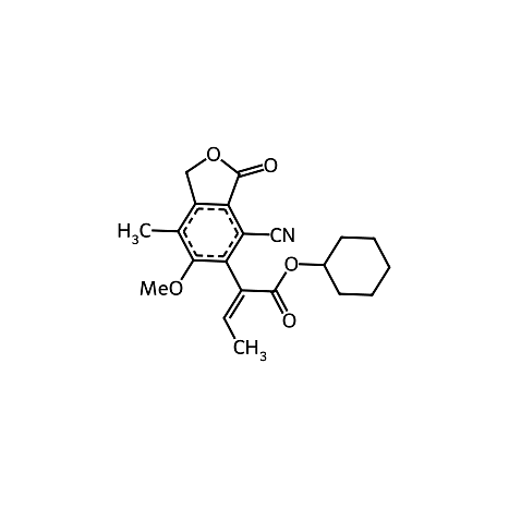 CC=C(C(=O)OC1CCCCC1)c1c(C#N)c2c(c(C)c1OC)COC2=O